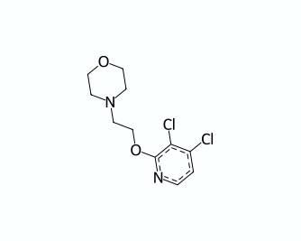 Clc1ccnc(OCCN2CCOCC2)c1Cl